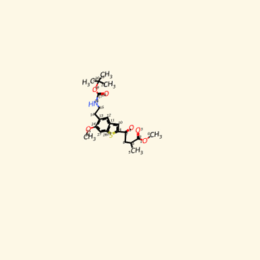 COC(=O)C(C)CC(=O)c1cc2cc(CCNC(=O)OC(C)(C)C)c(OC)cc2s1